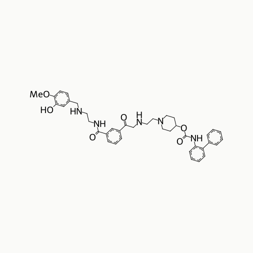 COc1ccc(CNCCNC(=O)c2cccc(C(=O)CNCCN3CCC(OC(=O)Nc4ccccc4-c4ccccc4)CC3)c2)cc1O